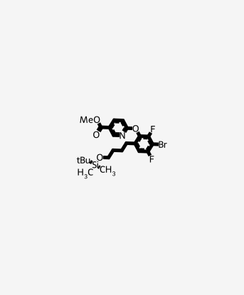 COC(=O)c1ccc(Oc2c(CCCCO[Si](C)(C)C(C)(C)C)cc(F)c(Br)c2F)nc1